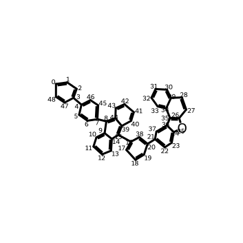 c1ccc(-c2ccc(-c3c4ccccc4c(-c4cccc(-c5ccc6oc7ccc8ccccc8c7c6c5)c4)c4ccccc34)cc2)cc1